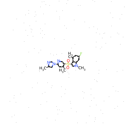 Cc1cn(-c2cc(C)c(S(=O)(=O)c3cn(C)c4cc(F)cc(C)c34)cn2)cn1